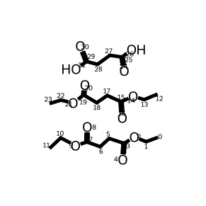 CCOC(=O)CCC(=O)OCC.CCOC(=O)CCC(=O)OCC.O=C(O)CCC(=O)O